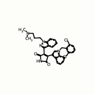 CN(C)CCCn1nc(C2=C(c3cn(Cc4c(Cl)cccc4Cl)c4ccccc34)C(=O)NC2=O)c2ccccc21